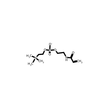 C=CC(=O)NCCOP(=O)([O-])OCC[N+](C)(C)C